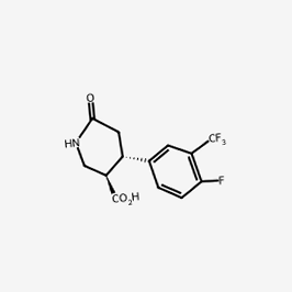 O=C1C[C@H](c2ccc(F)c(C(F)(F)F)c2)[C@@H](C(=O)O)CN1